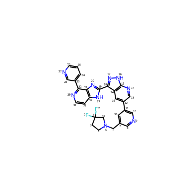 FC1(F)CCN(Cc2cncc(-c3cnc4[nH]nc(-c5nc6c(-c7cccnc7)nccc6[nH]5)c4c3)c2)C1